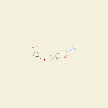 CC(=O)NC[C@H]1CN(c2ccc(N3CCN(C(=O)C=Cc4ccc(OC(C)=O)cc4)CC3)c(F)c2)C(=O)O1